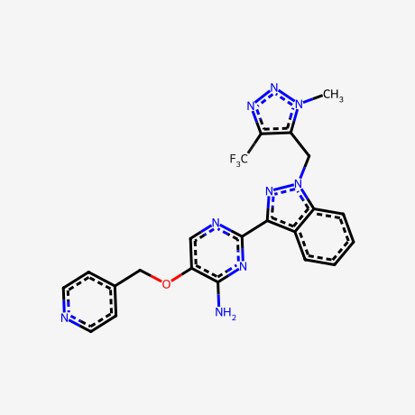 Cn1nnc(C(F)(F)F)c1Cn1nc(-c2ncc(OCc3ccncc3)c(N)n2)c2ccccc21